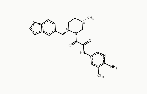 Cc1cc(NC(=O)C(=O)N2C[C@@H](C)CC[C@@H]2Cc2ccc3sccc3c2)cnc1N